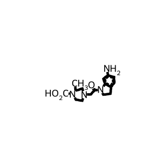 CC1CN(CC(=O)N2CCc3ccc(N)cc32)CCN1C(=O)O